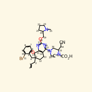 C=CCC1(Cc2ccccc2Br)CCc2c(nc(OCC3CCCN3C)nc2N2CCN(C(=O)O)C(CC#N)C2)C1=O